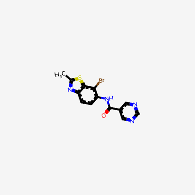 Cc1nc2ccc(NC(=O)c3cncnc3)c(Br)c2s1